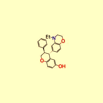 CCN1CCOc2ccc([C@@H]3c4cc(O)ccc4OC[C@H]3c3ccccc3)cc21